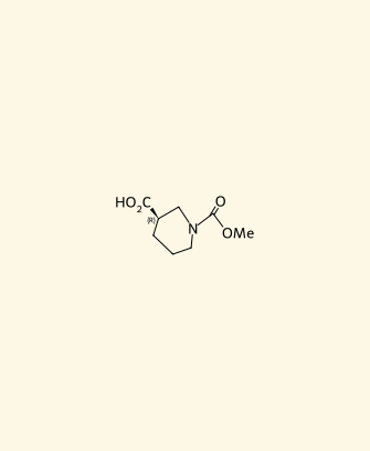 COC(=O)N1CCC[C@@H](C(=O)O)C1